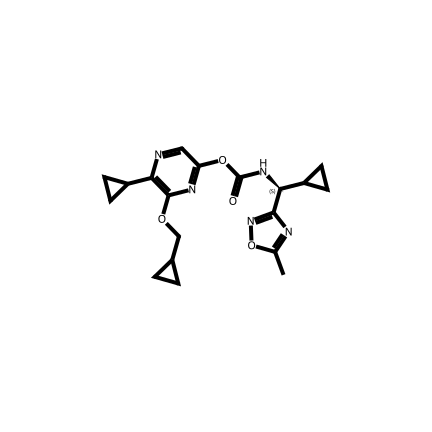 Cc1nc([C@@H](NC(=O)Oc2cnc(C3CC3)c(OCC3CC3)n2)C2CC2)no1